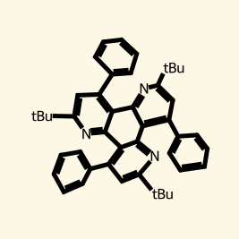 CC(C)(C)c1cc(-c2ccccc2)c2c(n1)c1c(-c3ccccc3)cc(C(C)(C)C)nc1c1c(-c3ccccc3)cc(C(C)(C)C)nc21